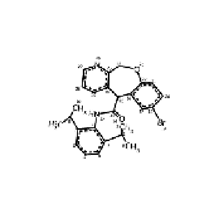 CC(C)c1cccc(C(C)C)c1NC(=O)C1c2cc(Br)ccc2OCc2ncccc21